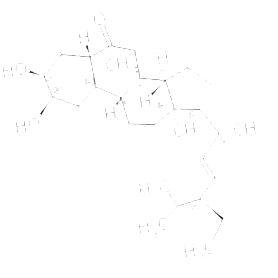 CC[C@H](C=C[C@@H](C)[C@H]1CC[C@H]2[C@@H]3CC(=O)[C@H]4C[C@H](O)[C@H](O)C[C@]4(C)[C@H]3CC[C@]12C)C(C)C